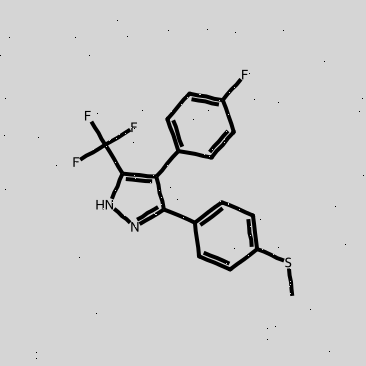 CSc1ccc(-c2n[nH]c(C(F)(F)F)c2-c2ccc(F)cc2)cc1